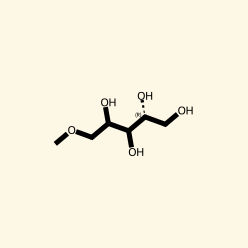 COCC(O)C(O)[C@H](O)CO